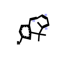 C\C1=C/C=C\C=C\c2ccc(Br)cc2C1(C)C